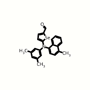 Cc1cc(C)cc(N(c2ccc(C=O)[se]2)c2ccc(C)c3ccccc23)c1